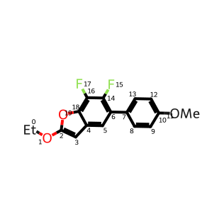 CCOc1cc2cc(-c3ccc(OC)cc3)c(F)c(F)c2o1